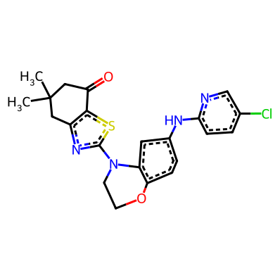 CC1(C)CC(=O)c2sc(N3CCOc4ccc(Nc5ccc(Cl)cn5)cc43)nc2C1